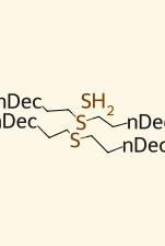 CCCCCCCCCCCCSCCCCCCCCCCCC.CCCCCCCCCCCCSCCCCCCCCCCCC.S